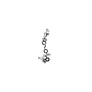 Cn1nnc2cccc(C(=O)N[C@H]3CC[C@H](CCN4CCc5sc(OCC(C)(F)F)nc5C4)CC3)c21